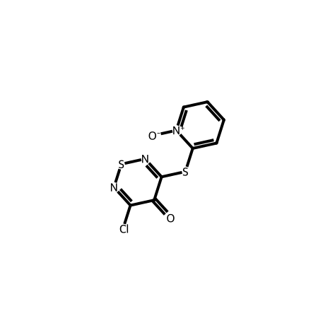 O=c1c(Cl)nsnc1Sc1cccc[n+]1[O-]